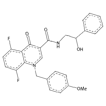 COc1ccc(Cn2cc(C(=O)NCC(O)c3ccccc3)c(=O)c3c(F)ccc(F)c32)cc1